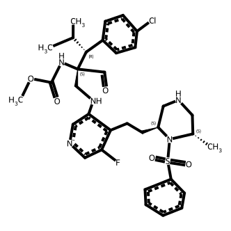 COC(=O)N[C@](C=O)(CNc1cncc(F)c1CC[C@H]1CNC[C@H](C)N1S(=O)(=O)c1ccccc1)[C@@H](c1ccc(Cl)cc1)C(C)C